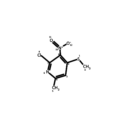 CSc1cc(C)nc(Cl)c1[N+](=O)[O-]